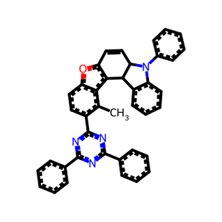 Cc1c(-c2nc(-c3ccccc3)nc(-c3ccccc3)n2)ccc2oc3c(c12)C1c2ccccc2N(c2ccccc2)C1C=C3